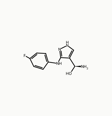 N[C@@H](O)c1c[nH]nc1Nc1ccc(F)cc1